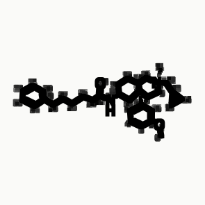 COc1cccc([C@@]23CC[N@+](C)(CC4CC4)CC2CC[C@@H](NC(=O)CCCCCc2ccccc2)C3)c1